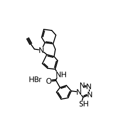 Br.C#CCN1C2=C(CCC=C2)Cc2cc(NC(=O)c3cccc(-n4nnnc4S)c3)ccc21